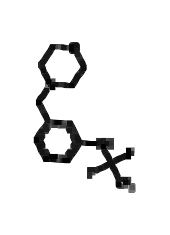 FC(F)(F)C(F)(F)Nc1cccc(CN2CCOCC2)c1